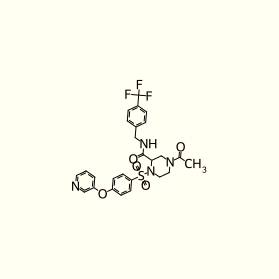 CC(=O)N1CCN(S(=O)(=O)c2ccc(Oc3cccnc3)cc2)C(C(=O)NCc2ccc(C(F)(F)F)cc2)C1